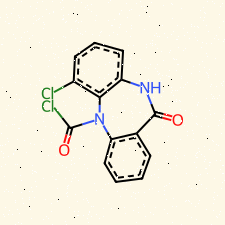 O=C1Nc2cccc(Cl)c2N(C(=O)Cl)c2ccccc21